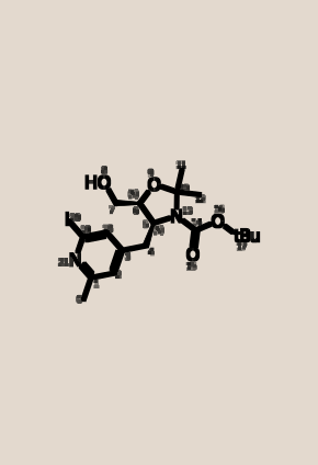 Cc1cc(C[C@H]2[C@@H](CO)OC(C)(C)N2C(=O)OC(C)(C)C)cc(I)n1